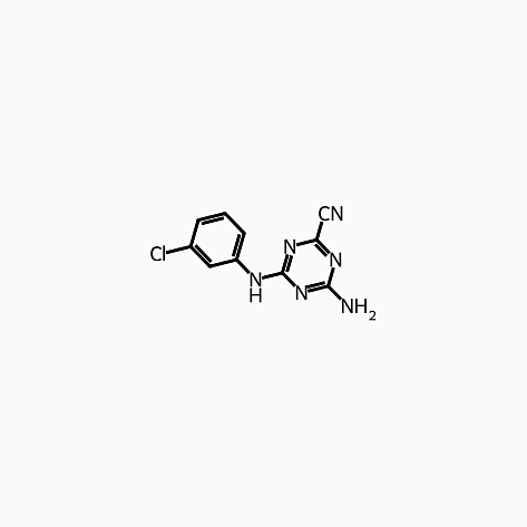 N#Cc1nc(N)nc(Nc2cccc(Cl)c2)n1